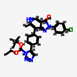 CCOC(O[Si](C)(C)C)n1nncc1-c1ccc(-c2c3nn(-c4ccc(Cl)cc4)c(=O)c-3c[nH]c2C)cc1